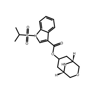 CC(C)S(=O)(=O)n1cc(C(=O)OC2C[C@H]3COC[C@@H](C2)N3)c2ccccc21